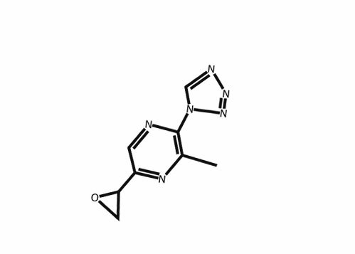 Cc1nc(C2CO2)cnc1-n1cnnn1